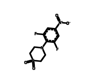 O=[N+]([O-])c1cc(F)c(N2CCS(=O)(=O)CC2)c(F)c1